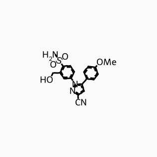 COc1ccc(-c2cc(C#N)nn2-c2ccc(S(N)(=O)=O)c(CO)c2)cc1